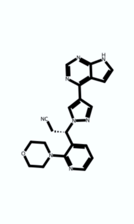 N#CC[C@@H](c1cccnc1N1CCOCC1)n1cc(-c2ncnc3[nH]ccc23)cn1